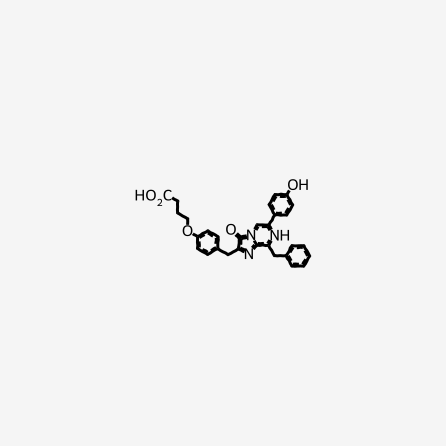 O=C(O)CCCOc1ccc(Cc2nc3c(Cc4ccccc4)[nH]c(-c4ccc(O)cc4)cn-3c2=O)cc1